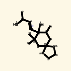 CC(O)/C=C/C1(O)C(C)CC2(CC1(C)C)OCCO2